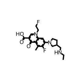 CCNCC1CCN(c2cc3c(c(C)c2F)c(=O)c(C(=O)O)cn3CCF)C1